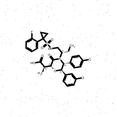 CC[C@@H](CNS(=O)(=O)C1(c2ccccc2F)CC1)N1C(=O)[C@@H]([C@@H](C)C(=O)O)O[C@H](c2cccc(Cl)c2)[C@H]1c1ccc(Cl)cc1